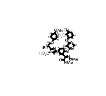 CNC(=O)/C(=N\OC)c1ccccc1Oc1ncnc(Oc2cccc(Cl)c2C)c1F.COc1ccc(OCC(c2nccn2C(=O)O)C(C)(C)C)cc1